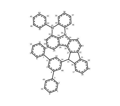 c1ccc(-c2cc(-c3ccccc3)cc(C3c4ccccc4-c4ccc5c(c43)c3cccc4c3n5-c3ccccc3N4c3ccccc3)c2)cc1